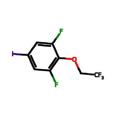 Fc1cc(I)cc(F)c1OCC(F)(F)F